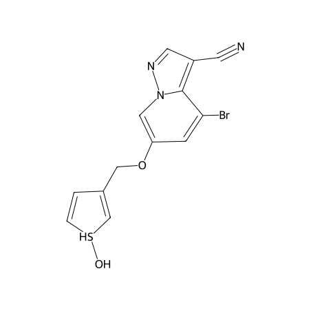 N#Cc1cnn2cc(OCC3=C[SH](O)C=C3)cc(Br)c12